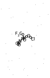 CS(=O)(=O)N1CCN(CCN2CC(c3cccc(C(F)(F)F)c3)N(c3ccc(Oc4ccc(Cl)cc4)cc3)C2=O)CC1